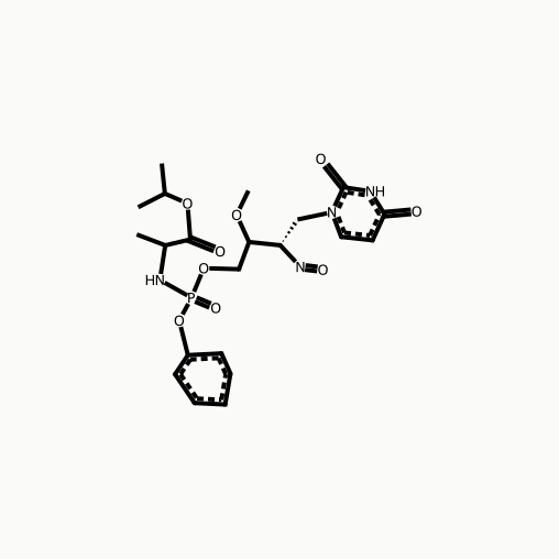 COC(COP(=O)(NC(C)C(=O)OC(C)C)Oc1ccccc1)[C@H](Cn1ccc(=O)[nH]c1=O)N=O